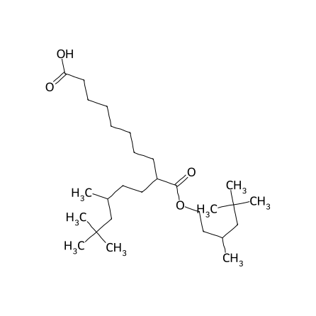 CC(CCOC(=O)C(CCCCCCCC(=O)O)CCC(C)CC(C)(C)C)CC(C)(C)C